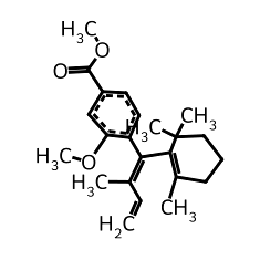 C=C/C(C)=C(\C1=C(C)CCCC1(C)C)c1ccc(C(=O)OC)cc1OC